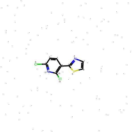 Clc1ccc(-c2n[c]cs2)c(Cl)n1